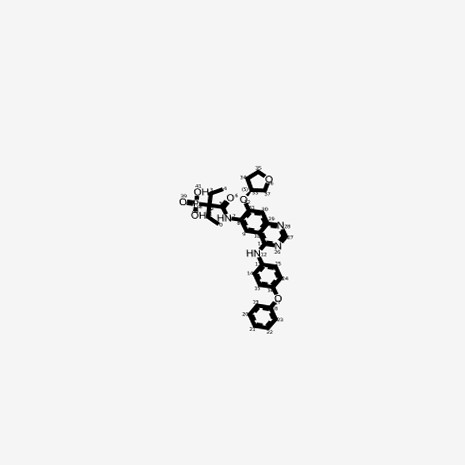 CCC(CC)(C(=O)Nc1cc2c(Nc3ccc(Oc4ccccc4)cc3)ncnc2cc1O[C@H]1CCOC1)P(=O)(O)O